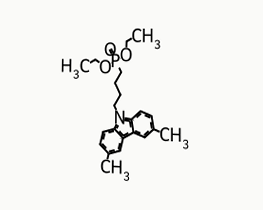 CCOP(=O)(CCCCn1c2ccc(C)cc2c2cc(C)ccc21)OCC